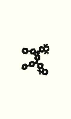 CC1(C)CCC(C)(C)c2cc(-n3c4ccc(-c5ccccc5)cc4c4cc(N(c5ccc(-c6ccccc6)cc5)c5ccc6c(c5)C(C)(C)c5ccccc5-6)ccc43)ccc21